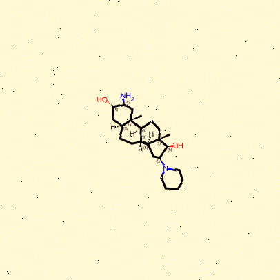 C[C@]12C[C@H](N)[C@@H](O)C[C@@H]1CC[C@@H]1[C@@H]2CC[C@]2(C)[C@@H](O)[C@@H](N3CCCCC3)C[C@@H]12